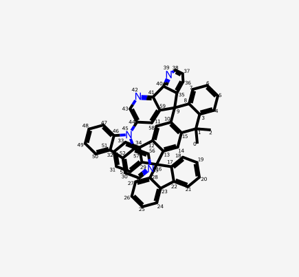 CC1(C)c2ccccc2C2(c3cc4c(cc31)C1(c3ccccc3-c3ccccc31)c1ccccc1-4)c1cccnc1-c1ncc(-n3c4ccccc4c4ccncc43)cc12